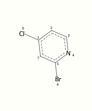 Clc1c[c]nc(Br)c1